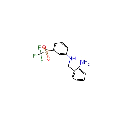 Nc1ccccc1CNc1cccc(S(=O)(=O)C(F)(F)F)c1